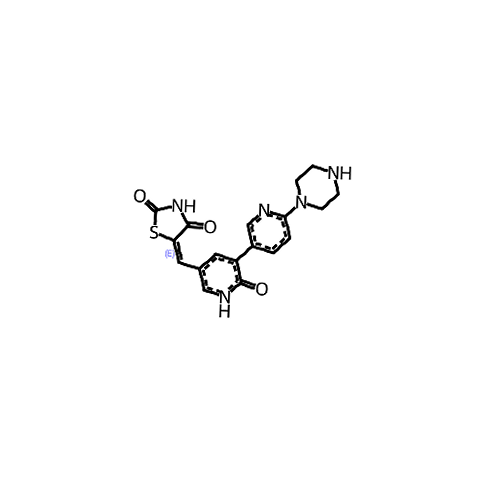 O=C1NC(=O)/C(=C\c2c[nH]c(=O)c(-c3ccc(N4CCNCC4)nc3)c2)S1